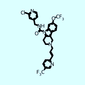 O=C(NCc1ccnc(Cl)c1)n1c2c(c3ccc(OC(F)(F)F)cc31)CN(CC=Cc1ccc(C(F)(F)F)cn1)CC2